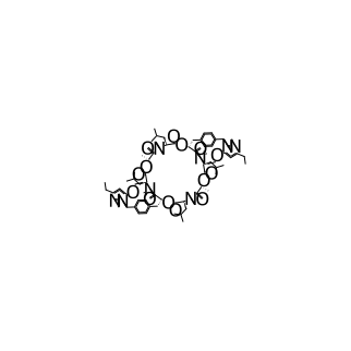 CCOc1cc(CC)nn1Cc1ccc(C[C@H]2OC(=O)[C@H](CC(C)C)N(C)C(=O)[C@@H](C)OC(=O)[C@H](CC(C)C)N(C)C(=O)[C@@H](Cc3ccc(Cn4nc(CC)cc4OCC)cc3)OC(=O)[C@H](CC(C)C)N(C)C(=O)[C@@H](C)OC(=O)[C@H](CC(C)C)N(C)C2=O)cc1